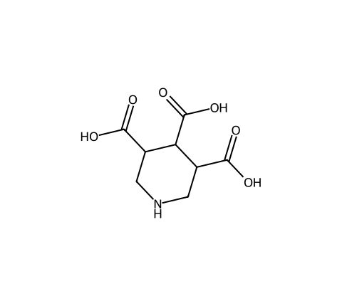 O=C(O)C1CNCC(C(=O)O)C1C(=O)O